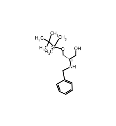 CC(C)(C)[Si](C)(C)OC[C@H](CO)NCc1ccccc1